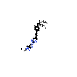 CC(=O)NC(C)Cc1ccc(C#Cc2cnc(NCc3cnn(C)c3)nc2)cc1